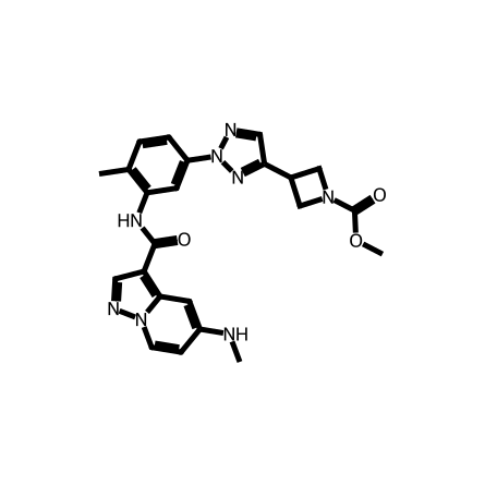 CNc1ccn2ncc(C(=O)Nc3cc(-n4ncc(C5CN(C(=O)OC)C5)n4)ccc3C)c2c1